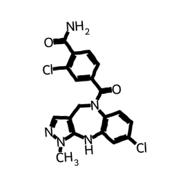 Cn1ncc2c1Nc1cc(Cl)ccc1N(C(=O)c1ccc(C(N)=O)c(Cl)c1)C2